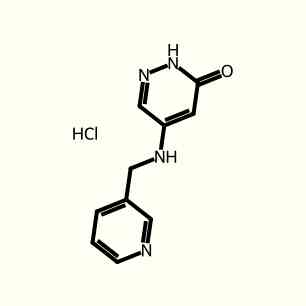 Cl.O=c1cc(NCc2cccnc2)cn[nH]1